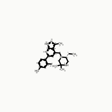 CC[C@@H]1CNC(C)(C)CN1Cc1cc(-c2ccc(O)cc2F)nc2[nH]nc(C)c12